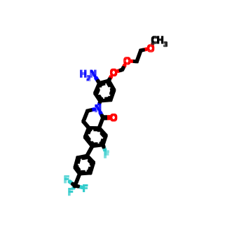 COCCOCOc1ccc(N2CCc3cc(-c4ccc(C(F)(F)F)cc4)c(F)cc3C2=O)cc1N